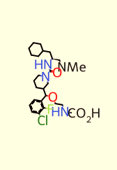 CNC[C@H](CC1CCCCC1)NC(=O)N1CCCC(C(OCCNC(=O)O)c2cccc(Cl)c2F)C1